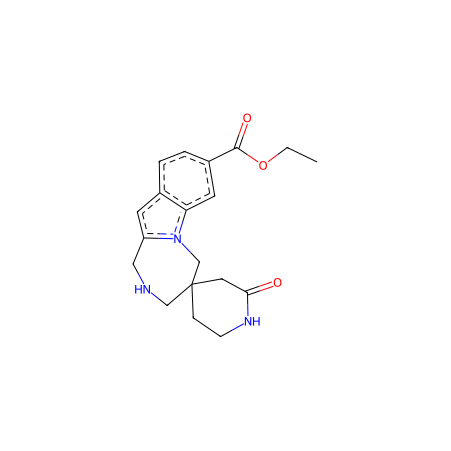 CCOC(=O)c1ccc2cc3n(c2c1)CC1(CCNC(=O)C1)CNC3